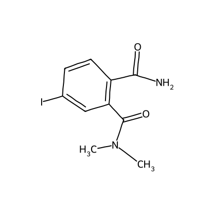 CN(C)C(=O)c1cc(I)ccc1C(N)=O